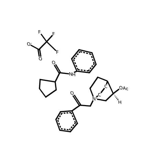 CC(=O)O[C@H]1C[N+]2(CC(=O)c3ccccc3)CCC1CC2.O=C(Nc1ccccc1)C1CCCC1.O=C([O-])C(F)(F)F